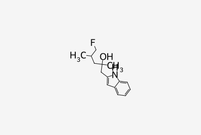 CC(CF)CC(C)(O)Cc1cc2ccccc2[nH]1